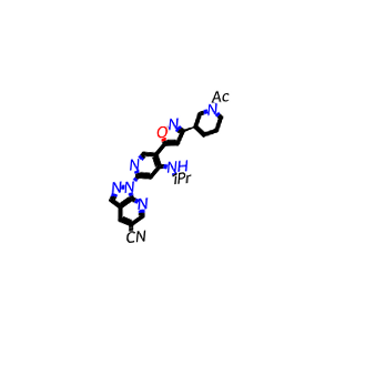 CC(=O)N1CCC[C@@H](c2cc(-c3cnc(-n4ncc5cc(C#N)cnc54)cc3NC(C)C)on2)C1